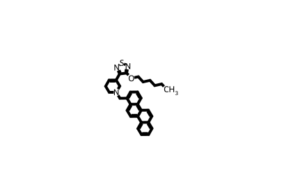 CCCCCCOc1nsnc1C1=CCCN(Cc2cccc3c2ccc2c4ccccc4ccc32)C1